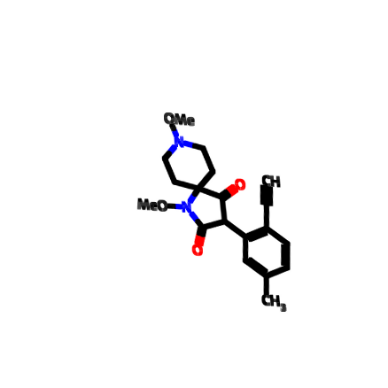 C#Cc1ccc(C)cc1C1C(=O)N(OC)C2(CCN(OC)CC2)C1=O